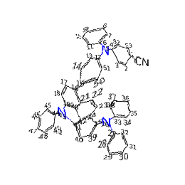 N#Cc1ccc(N(c2ccccc2)c2ccc(-c3ccc4c5c3ccc3c(N(c6ccccc6)c6ccccc6)ccc(c35)n4-c3ccccc3)cc2)cc1